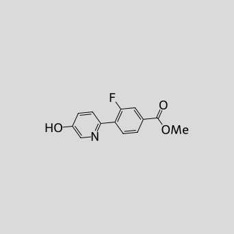 COC(=O)c1ccc(-c2ccc(O)cn2)c(F)c1